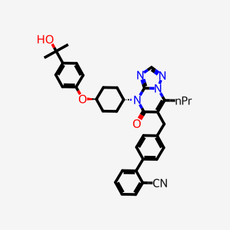 CCCc1c(Cc2ccc(-c3ccccc3C#N)cc2)c(=O)n([C@H]2CC[C@H](Oc3ccc(C(C)(C)O)cc3)CC2)c2ncnn12